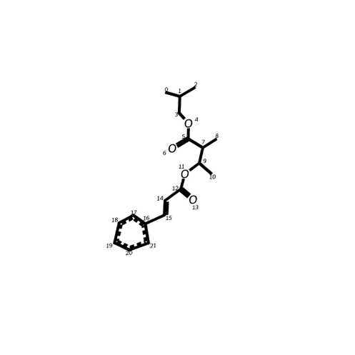 CC(C)COC(=O)C(C)C(C)OC(=O)/C=C/c1ccccc1